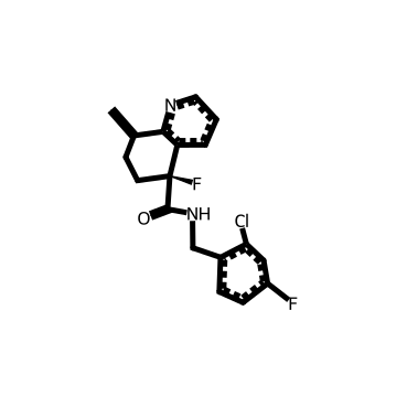 C=C1CC[C@@](F)(C(=O)NCc2ccc(F)cc2Cl)c2cccnc21